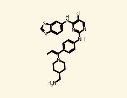 CC=C(c1ccc(Nc2ncc(Cl)c(Nc3ccc4ncsc4c3)n2)cc1)N1CCC(CN)CC1